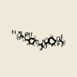 Cc1oc(-c2ccc(OC(F)(F)CF)cc2)nc1COc1ccc(CN(O)C(N)=O)cc1